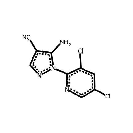 N#Cc1cnn(-c2ncc(Cl)cc2Cl)c1N